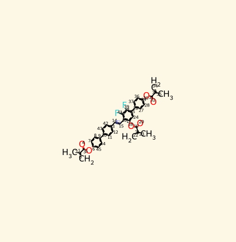 C=C(C)C(=O)Oc1ccc(-c2ccc(/C=C/c3c(OC(=O)C(=C)C)cc(-c4ccc(OC(=O)C(=C)C)cc4)c(F)c3F)cc2)cc1